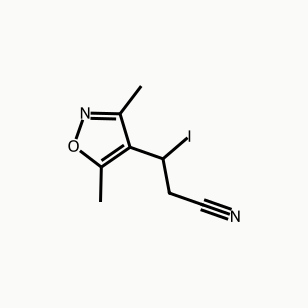 Cc1noc(C)c1C(I)CC#N